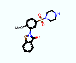 COc1ccc(S(=O)(=O)N2CCNCC2)cc1-n1sc2ccccc2c1=O